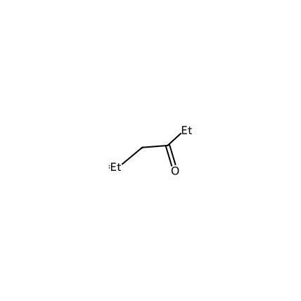 C[C]CC(=O)CC